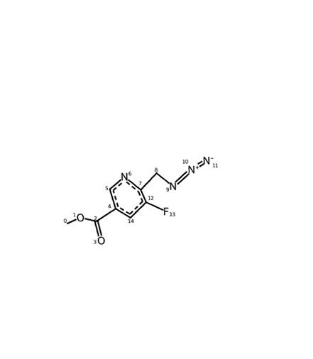 COC(=O)c1cnc(CN=[N+]=[N-])c(F)c1